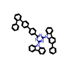 c1ccc(-c2ccc3c4ccccc4n(-c4nc(-c5ccc(-c6ccc(-c7ccccc7-c7ccccc7)cc6)cc5)nc(-n5c6ccccc6c6ccccc65)n4)c3c2)cc1